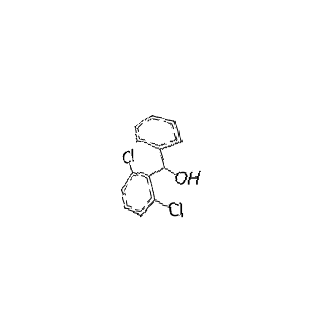 OC(c1ccccc1)c1c(Cl)cccc1Cl